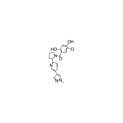 Cn1cc(-c2ccc(C3CCCN3C(=O)c3cc(Cl)c(O)cc3O)nc2)cn1